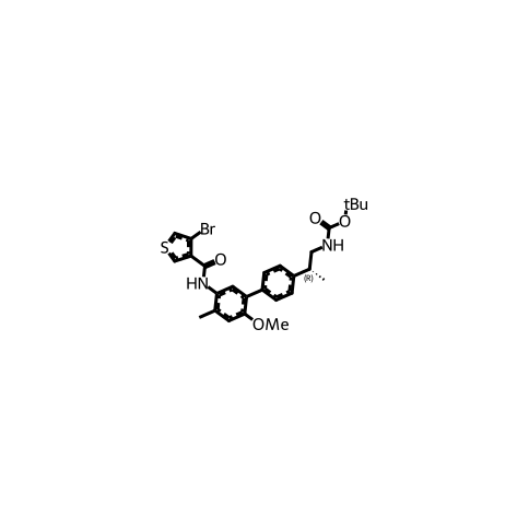 COc1cc(C)c(NC(=O)c2cscc2Br)cc1-c1ccc([C@@H](C)CNC(=O)OC(C)(C)C)cc1